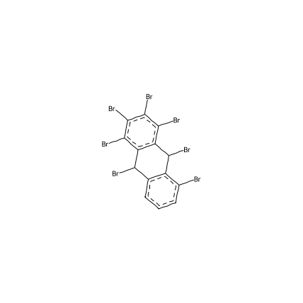 Brc1cccc2c1C(Br)c1c(Br)c(Br)c(Br)c(Br)c1C2Br